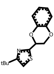 CC(C)(C)c1csc(C2COc3ccccc3O2)n1